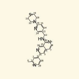 Cc1cc(-c2cc3ccnc(NCc4ccc(N5CCSCC5)nc4)c3cn2)ccn1